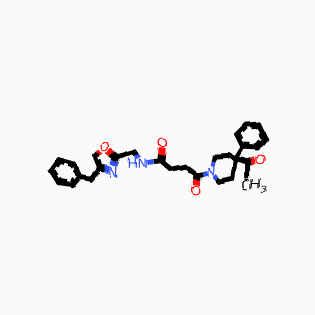 CC(=O)C1(c2ccccc2)CCN(C(=O)CCC(=O)NCc2nc(Cc3ccccc3)co2)CC1